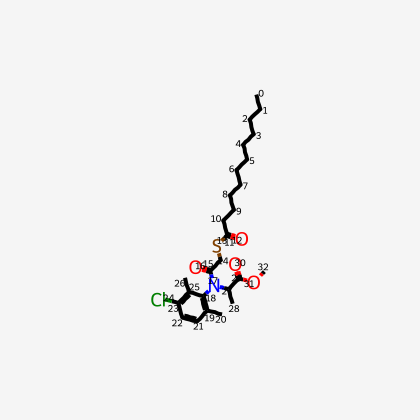 CCCCCCCCCCCC(=O)SCC(=O)N(c1c(C)ccc(Cl)c1C)C(C)C(=O)OC